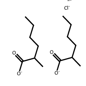 CCCCC(C)C(=O)[O-].CCCCC(C)C(=O)[O-].[Cl-].[In+3]